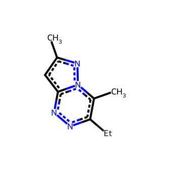 CCc1nnc2cc(C)nn2c1C